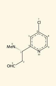 CN[C@@H](CC=O)c1cc(Cl)ccn1